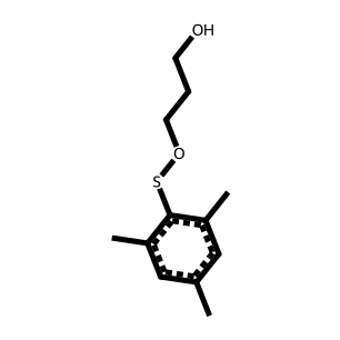 Cc1cc(C)c(SOCCCO)c(C)c1